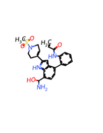 C=CC(=O)Nc1ccccc1-c1ccc(C(N)O)c2[nH]c(C3=CCN(S(C)(=O)=O)CC3)cc12